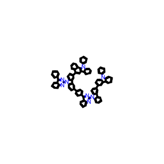 c1ccc(-c2nc(-n3c4ccc(-c5ccc(-c6nc(-n7c8ccccc8c8cc(-c9ccc%10c(c9)c9ccccc9n%10-c9ccccc9)ccc87)nc7ccccc67)cc5)cc4c4cc(-c5cc6c7ccccc7n(-c7ccccc7)c6c6ccccc56)ccc43)nc3ccccc23)cc1